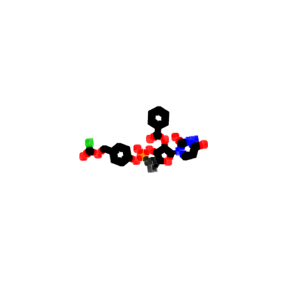 CC[C@H]1O[C@@H](n2ccc(=O)[nH]c2=O)C(OC(=O)c2ccccc2)C1OP(=O)(OC)Oc1ccc(COC(=O)Cl)cc1